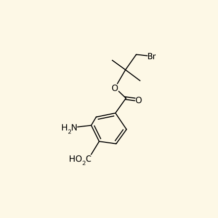 CC(C)(CBr)OC(=O)c1ccc(C(=O)O)c(N)c1